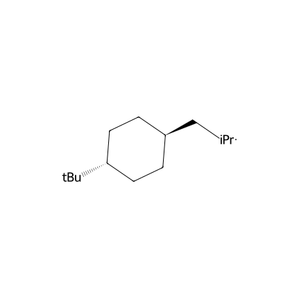 C[C](C)C[C@H]1CC[C@H](C(C)(C)C)CC1